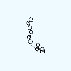 C[C@]1(C(=O)O)OC[C@H](Cc2ccc(OCCOc3ccc(Oc4ccccc4)cc3)cc2)CO1